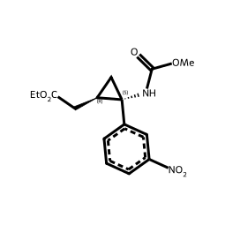 CCOC(=O)C[C@H]1C[C@@]1(NC(=O)OC)c1cccc([N+](=O)[O-])c1